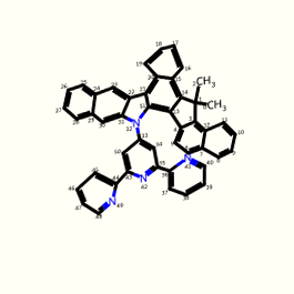 CC1(C)c2c(ccc3ccccc23)-c2c1c1ccccc1c1c3cc4ccccc4cc3n(-c3cc(-c4ccccn4)nc(-c4ccccn4)c3)c21